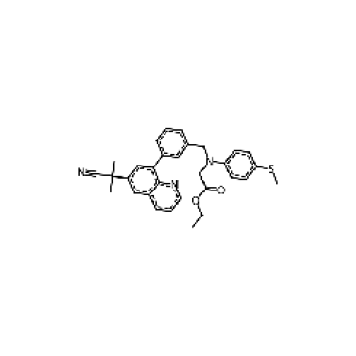 CCOC(=O)CN(Cc1cccc(-c2cc(C(C)(C)C#N)cc3cccnc23)c1)c1ccc(SC)cc1